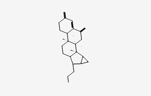 C=C1C[C@@H]2[C@H](CC[C@@]3(CC)[C@H]2[C@H]2C[C@H]2[C@@]3(O)CCC(=O)O)[C@H]2CCC(=O)C=C12